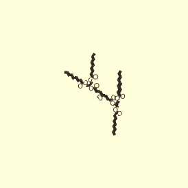 CCCCCCCCC(=O)OCC(COC(=O)CCCCCCCC)OC(=O)CCC(=O)CCC(=O)OC(COC(=O)CCCCCCCC)COC(=O)CCCCCCCC